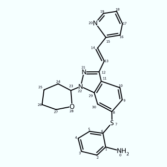 Nc1ccccc1Sc1ccc2c(C=Cc3ccccn3)nn(C3CCCCO3)c2c1